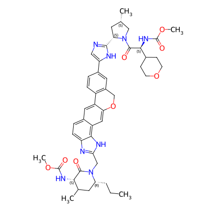 CCC[C@@H]1CC(C)[C@H](NC(=O)OC)C(=O)N1Cc1nc2ccc3cc4c(cc3c2[nH]1)OCc1cc(-c2cnc([C@@H]3C[C@H](C)CN3C(=O)[C@@H](NC(=O)OC)C3CCOCC3)[nH]2)ccc1-4